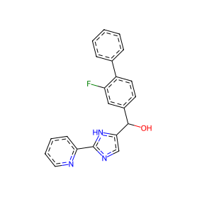 OC(c1ccc(-c2ccccc2)c(F)c1)c1cnc(-c2ccccn2)[nH]1